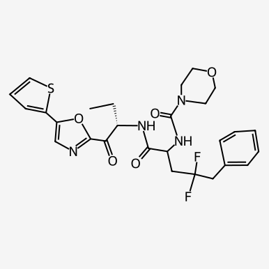 CC[C@H](NC(=O)C(CC(F)(F)Cc1ccccc1)NC(=O)N1CCOCC1)C(=O)c1ncc(-c2cccs2)o1